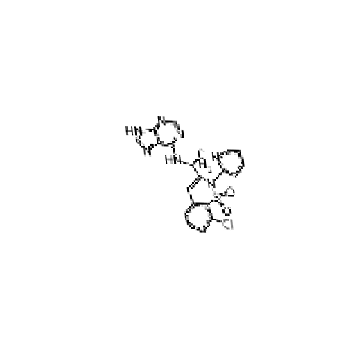 C[C@H](Nc1ncnc2[nH]cnc12)C1=Cc2cccc(Cl)c2S(=O)(=O)N1c1ccccn1